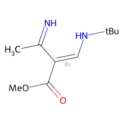 COC(=O)/C(=C/NC(C)(C)C)C(C)=N